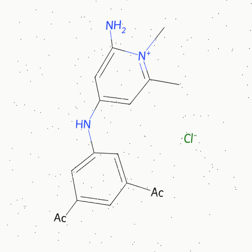 CC(=O)c1cc(Nc2cc(C)[n+](C)c(N)c2)cc(C(C)=O)c1.[Cl-]